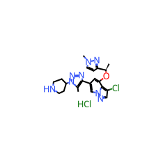 Cc1c(-c2cc(O[C@H](C)c3ccn(C)n3)c3c(Cl)cnn3c2)nnn1C1CCNCC1.Cl